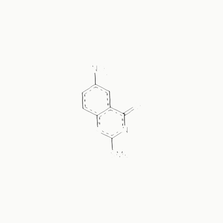 CSc1nc(=O)c2cc([N+](=O)[O-])ccc2s1